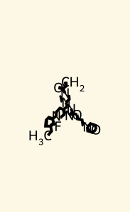 C=CC(=O)N1CCN(c2nc(OCCCN3CCOCC3)nc3c2CCN(c2cccc(CC)c2F)C3)CC1